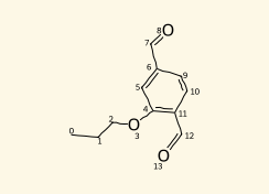 CCCOc1cc(C=O)ccc1C=O